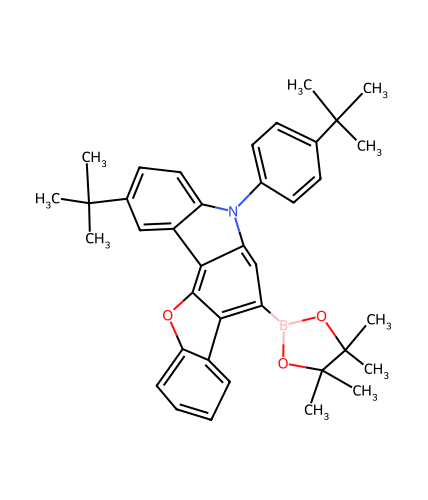 CC(C)(C)c1ccc(-n2c3ccc(C(C)(C)C)cc3c3c4oc5ccccc5c4c(B4OC(C)(C)C(C)(C)O4)cc32)cc1